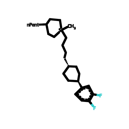 CCCCCC1CC[Si](C)(CCCC[C@H]2CC[C@H](c3ccc(F)c(F)c3)CC2)CC1